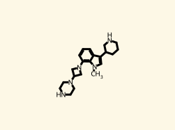 Cn1cc(C2CCCNC2)c2cccc(N3CC(N4CCNCC4)C3)c21